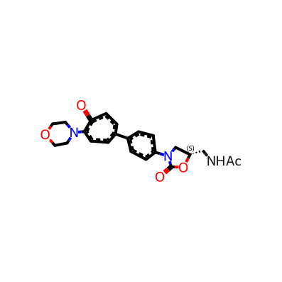 CC(=O)NC[C@H]1CN(c2ccc(-c3ccc(N4CCOCC4)c(=O)cc3)cc2)C(=O)O1